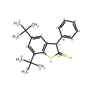 CC(C)(C)c1cc2c(c(C(C)(C)C)c1)SC(=S)C2c1ccccc1